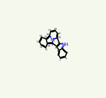 c1ccc2c(c1)[nH]c1c2c2c3ccccc3c3cccc1n32